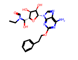 CCN(C=O)C(O)[C@H]1O[C@@H](n2cnc3c(N)nc(OCCc4ccccc4)nc32)[C@H](O)[C@@H]1O